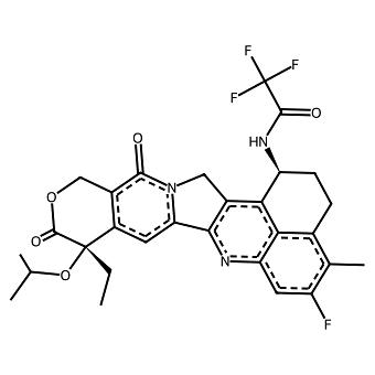 CC[C@@]1(OC(C)C)C(=O)OCc2c1cc1n(c2=O)Cc2c-1nc1cc(F)c(C)c3c1c2[C@@H](NC(=O)C(F)(F)F)CC3